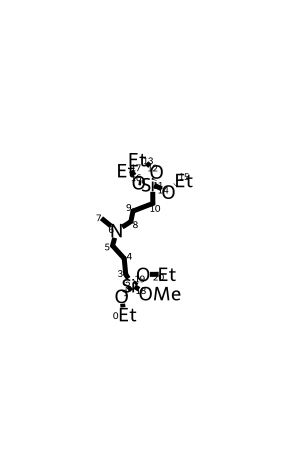 CCO[Si](CCCN(C)CCC[Si](OCC)(OCC)OCC)(OC)OCC